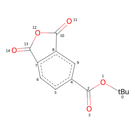 CC(C)(C)OC(=O)c1ccc2c(c1)C(=O)OC2=O